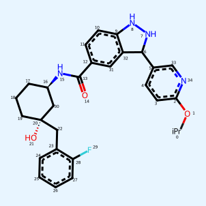 CC(C)Oc1ccc(C2NNc3ccc(C(=O)N[C@@H]4CCC[C@](O)(Cc5ccccc5F)C4)cc32)cn1